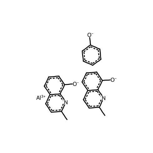 Cc1ccc2cccc([O-])c2n1.Cc1ccc2cccc([O-])c2n1.[Al+3].[O-]c1ccccc1